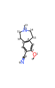 COc1cc2c(cc1C#N)CCN(C)CC2